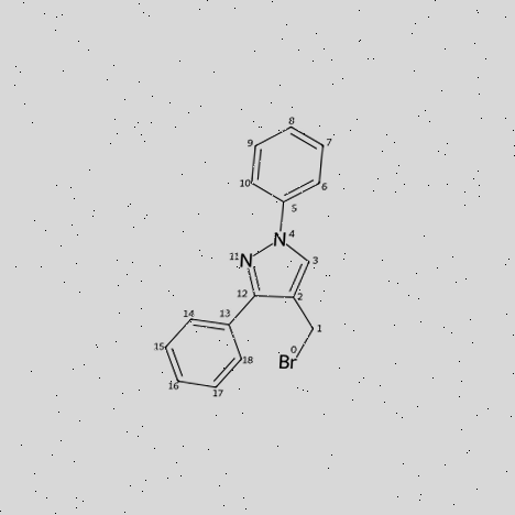 BrCc1cn(-c2ccccc2)nc1-c1ccccc1